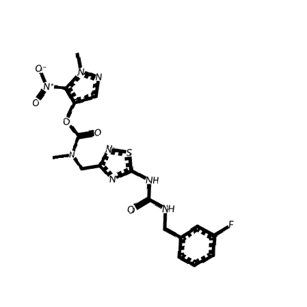 CN(Cc1nsc(NC(=O)NCc2cccc(F)c2)n1)C(=O)Oc1cnn(C)c1[N+](=O)[O-]